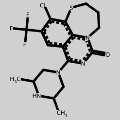 CC1CN(c2nc(=O)n3c4c(c(Cl)c(C(F)(F)F)cc24)SCCC3)CC(C)N1